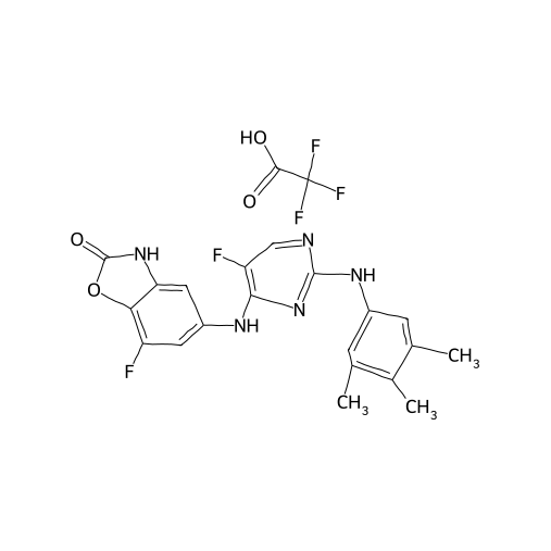 Cc1cc(Nc2ncc(F)c(Nc3cc(F)c4oc(=O)[nH]c4c3)n2)cc(C)c1C.O=C(O)C(F)(F)F